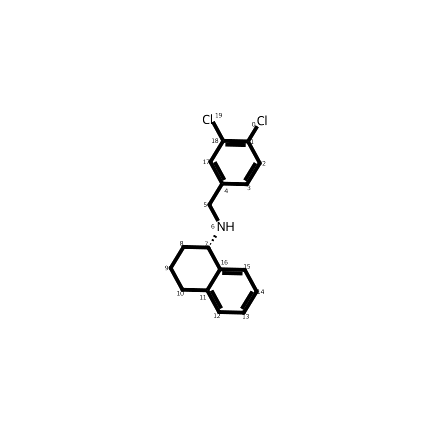 Clc1ccc(CN[C@H]2CCCc3ccccc32)cc1Cl